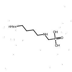 CCCCCCCCCCNCP(=O)(O)O